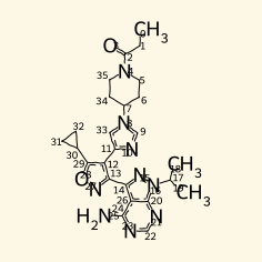 CCC(=O)N1CCC(n2cnc(-c3c(-c4nn(C(C)C)c5ncnc(N)c45)noc3C3CC3)c2)CC1